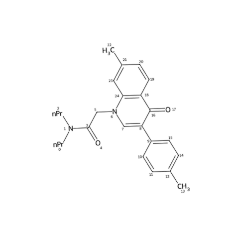 CCCN(CCC)C(=O)Cn1cc(-c2ccc(C)cc2)c(=O)c2ccc(C)cc21